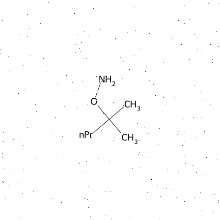 CCCC(C)(C)ON